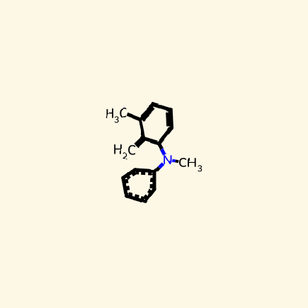 C=C1C(C)=CC=CC1N(C)c1ccccc1